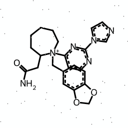 NC(=O)CC1CCCCC[N+]1(Cc1ccc2c(c1)OCO2)c1ccnc(-n2ccnc2)n1